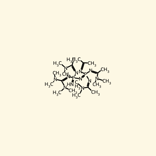 CC(C)=NP(N=C(C)N(C)C)(N=C(C)N(C)C)=NP(=N)(N=C(C)N(C)C)N=C(N(C)C)N(C)C